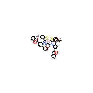 Cc1cc2c3c(c1)N(c1cc(-c4cc5ccccc5o4)ccc1-c1ccccc1)c1c(sc4ccc(C(C)(C)C)cc14)B3c1sc3ccc(C(C)(C)C)cc3c1N2c1cc(-c2cc3ccccc3o2)ccc1-c1ccccc1